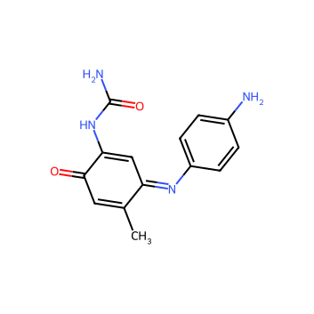 CC1=CC(=O)C(NC(N)=O)=CC1=Nc1ccc(N)cc1